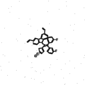 C=Cc1ccc2c(c1)-c1cc(C=C)ccc1[CH]2[Zr+2]([C]1=CC=CC1)=[C](c1cccc(F)c1)c1cccc(F)c1.[Cl-].[Cl-]